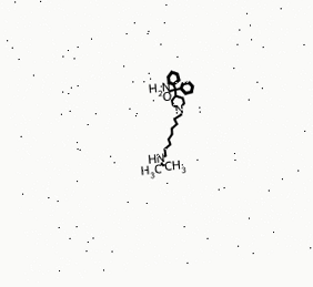 CC(C)NCCCCCCCCCN1CCC(C(C(N)=O)(c2ccccc2)c2ccccc2)CC1